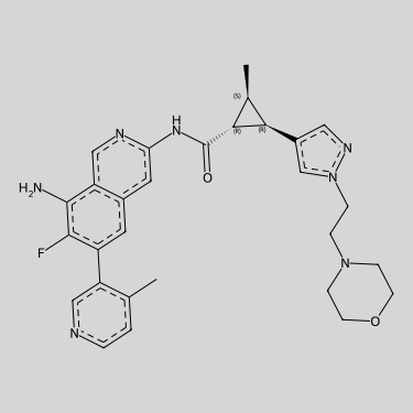 Cc1ccncc1-c1cc2cc(NC(=O)[C@@H]3[C@@H](C)[C@H]3c3cnn(CCN4CCOCC4)c3)ncc2c(N)c1F